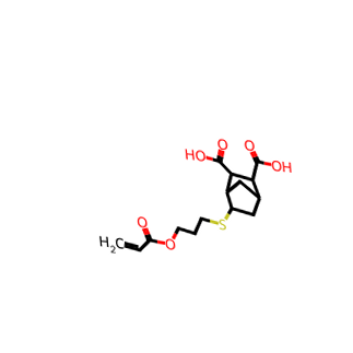 C=CC(=O)OCCCSC1CC2CC1C(C(=O)O)C2C(=O)O